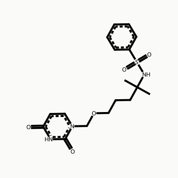 CC(C)(CCCOCn1ccc(=O)[nH]c1=O)NS(=O)(=O)c1ccccc1